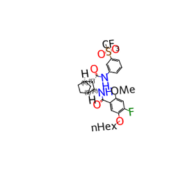 CCCCCCOc1cc(C(=O)N[C@@H]2[C@H]3CC[C@H](C3)[C@@H]2C(=O)Nc2cccc(S(=O)(=O)C(F)(F)F)c2)c(OC)cc1F